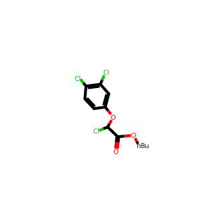 CCCCOC(=O)C(Cl)Oc1ccc(Cl)c(Cl)c1